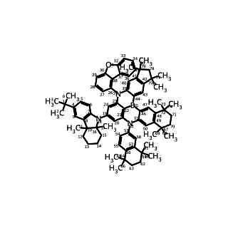 CC(C)(C)c1ccc2c(c1)C1(C)CCCCC1(C)N2c1cc2c3c(c1)N(c1cccc4oc5ccccc5c14)c1cc4c(cc1B3c1cc3c(cc1N2c1ccc2c(c1)C(C)(C)CCC2(C)C)C(C)(C)CCC3(C)C)C(C)(C)CC4(C)C